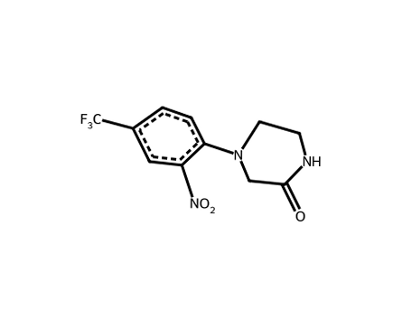 O=C1CN(c2ccc(C(F)(F)F)cc2[N+](=O)[O-])CCN1